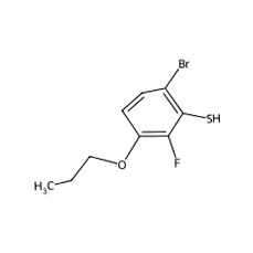 CCCOc1ccc(Br)c(S)c1F